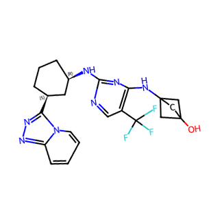 OC12CC(Nc3nc(N[C@@H]4CCC[C@H](c5nnc6ccccn56)C4)ncc3C(F)(F)F)(C1)C2